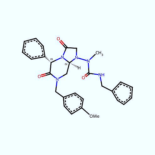 COc1ccc(CN2C[C@H]3N(C(=O)CN3N(C)C(=O)NCc3ccccc3)[C@@H](c3ccccc3)C2=O)cc1